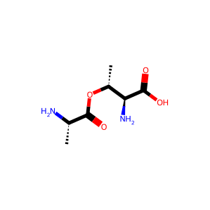 C[C@H](N)C(=O)O[C@H](C)[C@H](N)C(=O)O